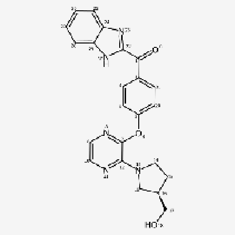 O=C(c1ccc(Oc2nccnc2N2CC[C@@H](CO)C2)cc1)c1nc2ccccc2[nH]1